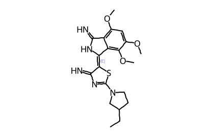 CCC1CCN(C2=NC(=N)/C(=C3\NC(=N)c4c(OC)cc(OC)c(OC)c43)S2)C1